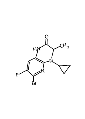 CC1C(=O)Nc2cc(F)c(Br)nc2N1C1CC1